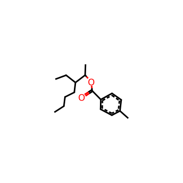 CCCCC(CC)C(C)OC(=O)c1ccc(C)cc1